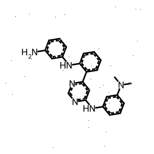 CN(C)c1cccc(Nc2cc(-c3ccccc3Nc3cccc(N)c3)ncn2)c1